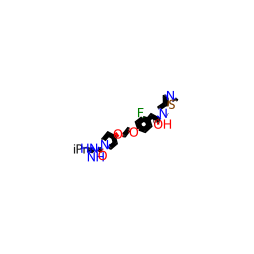 CC(C)C(=N)NC(=O)N1CCC(OCCOc2ccc(C[C@H](O)N(C)Cc3cncs3)c(F)c2)CC1